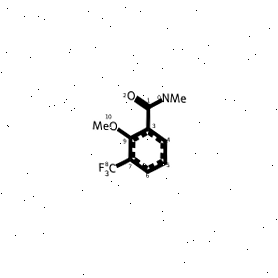 CNC(=O)c1cccc(C(F)(F)F)c1OC